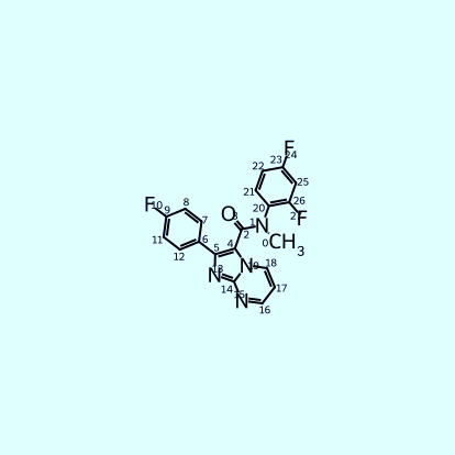 CN(C(=O)c1c(-c2ccc(F)cc2)nc2ncccn12)c1ccc(F)cc1F